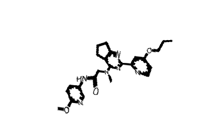 CCCOc1ccnc(-c2nc3c(c(N(C)CC(=O)Nc4ccc(OC)nc4)n2)CCC3)c1